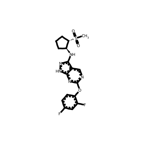 CS(=O)(=O)[C@H]1CCC[C@@H]1Nc1n[nH]c2nc(Oc3ccc(F)cc3F)ncc12